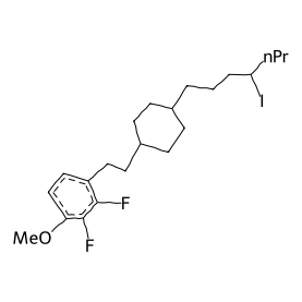 CCCC(I)CCCC1CCC(CCc2ccc(OC)c(F)c2F)CC1